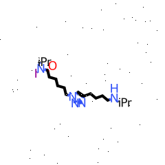 CC(C)NCCCCc1cn(CCCCCC(=O)N(I)C(C)C)nn1